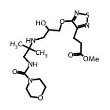 COC(=O)CCc1nsnc1OCC(O)CNC(C)(C)CNC(=O)N1CCOCC1